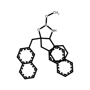 COB1NC(C2CCCCC2)C(Cc2ccc3ccccc3c2)(Cc2ccc3ccccc3c2)O1